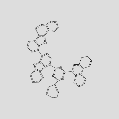 C1=CC(c2nc(-c3cc4c(c5ccccc35)C=CCC4)nc(-c3ccc(-c4cccc5c4oc4c6ccccc6ccc54)c4oc5ccccc5c34)n2)=CCC1